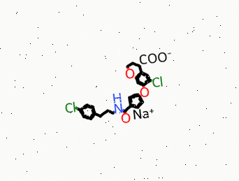 O=C(NCCCc1ccc(Cl)cc1)c1ccc(Oc2cc3c(cc2Cl)C(C(=O)[O-])CCO3)cc1.[Na+]